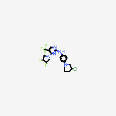 F[C@H]1CN(c2nc(Nc3ccc(N4CCCC(Cl)C4)cc3)ncc2C(F)(F)F)C[C@@H]1F